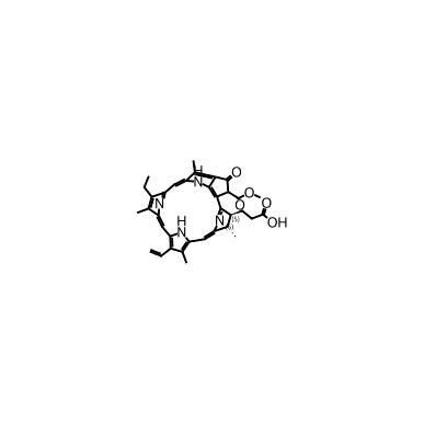 C=Cc1c(C)c2cc3nc(c4c5[nH]c(cc6nc(cc1[nH]2)C(C)=C6CC)c(C)c5C(=O)C4C(=O)OC)[C@@H](CCC(=O)O)[C@@H]3C